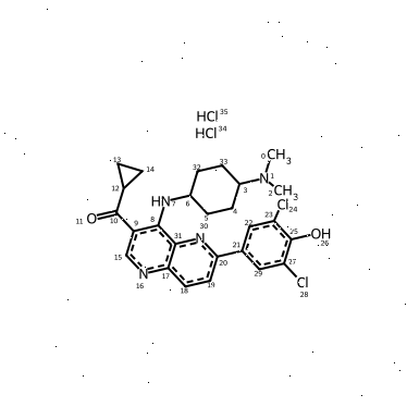 CN(C)C1CCC(Nc2c(C(=O)C3CC3)cnc3ccc(-c4cc(Cl)c(O)c(Cl)c4)nc23)CC1.Cl.Cl